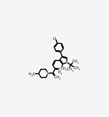 C=C(/C=C\c1c(-c2ccc(Cl)cc2)cn(C(C)(C)C)c1C)C(=C)N1CCC(C)CC1